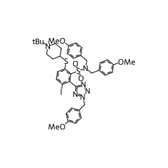 COc1ccc(CN(Cc2ccc(OC)cc2)S(=O)(=O)c2c(SC3CCN(C(C)(C)C)CC3)ccc(I)c2-c2nnn(Cc3ccc(OC)cc3)n2)cc1